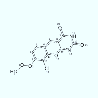 COOc1ccc2cc3c(=O)[nH]c(=O)nc-3oc2c1Cl